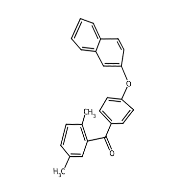 Cc1ccc(C)c(C(=O)c2ccc(Oc3ccc4ccccc4c3)cc2)c1